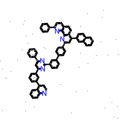 c1ccc(-c2cc(-c3cccc(-c4ccnc5ccccc45)c3)nc(-c3cccc(-c4ccc(-c5cc(-c6ccc7ccccc7c6)c6ccc7ccc(-c8ccccc8)nc7c6n5)cc4)c3)n2)cc1